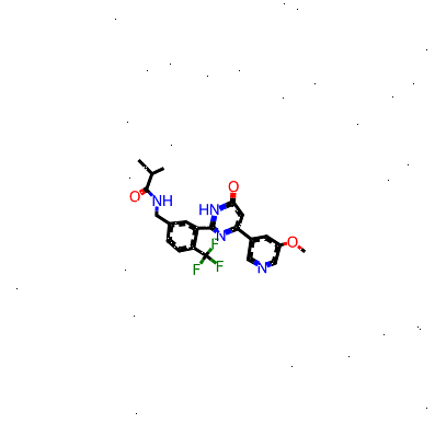 COc1cncc(-c2cc(=O)[nH]c(-c3cc(CNC(=O)C(C)C)ccc3C(F)(F)F)n2)c1